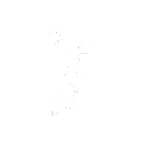 O=C(O)CCc1ccccc1OCc1cccc(Oc2ccc(Br)cc2)c1